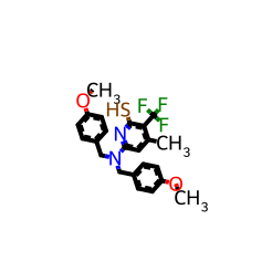 COc1ccc(CN(Cc2ccc(OC)cc2)c2cc(C)c(C(F)(F)F)c(S)n2)cc1